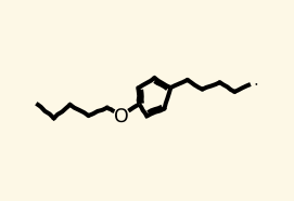 [CH2]CCCCc1ccc(OCCCCC)cc1